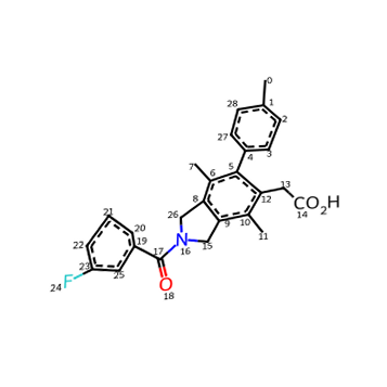 Cc1ccc(-c2c(C)c3c(c(C)c2CC(=O)O)CN(C(=O)c2cccc(F)c2)C3)cc1